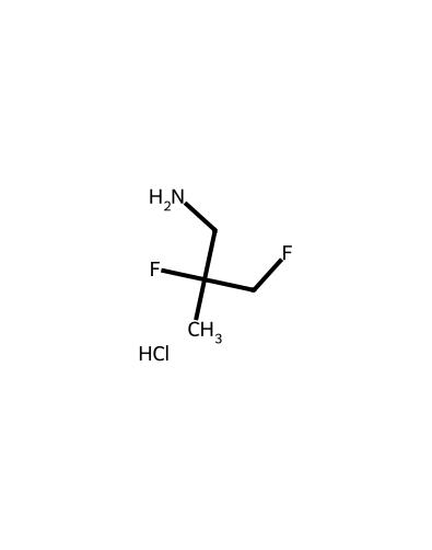 CC(F)(CN)CF.Cl